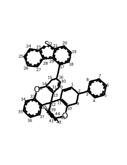 C1=CC(c2ccccc2)CC2=C1C1(C3=C(CC(c4cccc5sc6ccccc6c45)C=C3)Oc3ccccc31)c1ccccc1O2